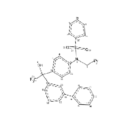 CC(C)CN(c1ccc(C(O)(c2cccc(-c3ccccc3)c2)C(F)(F)F)cc1)S(=O)(=O)c1ccccc1